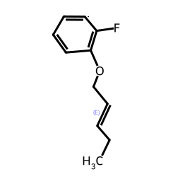 CC/C=C/COc1ccc[c]c1F